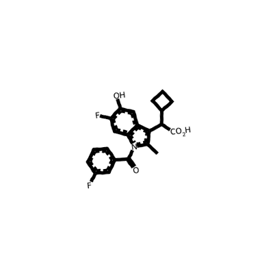 Cc1c(C(C(=O)O)C2CCC2)c2cc(O)c(F)cc2n1C(=O)c1cccc(F)c1